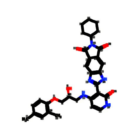 Cc1ccc(OC[C@H](O)CNc2cc[nH]c(=O)c2-c2nc3cc4c(cc3[nH]2)C(=O)N(C2CCCCC2)C4=O)c(C)c1